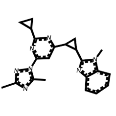 Cc1nc(C)n(-c2cc(C3CC3c3nc4ccccc4n3C)nc(C3CC3)n2)n1